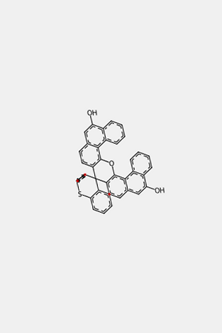 Oc1cc2ccc3c(c2c2ccccc12)Oc1c(ccc2cc(O)c4ccccc4c12)C31c2ccccc2Sc2ccccc21